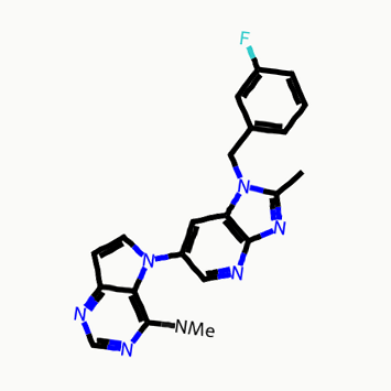 CNc1ncnc2ccn(-c3cnc4nc(C)n(Cc5cccc(F)c5)c4c3)c12